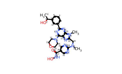 CC(O)c1cccc(-c2nc(N3CCOCC3)c3nc(CN(C)c4ncc(C(=O)NO)cn4)n(C)c3n2)c1